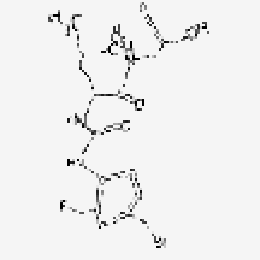 CC(C)CC(NC(=O)Nc1ccc(Br)cc1F)C(=O)NCC(=O)O